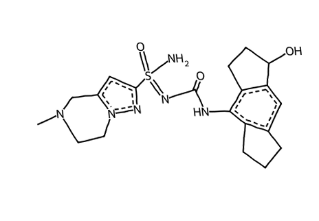 CN1CCn2nc(S(N)(=O)=NC(=O)Nc3c4c(cc5c3CCC5O)CCC4)cc2C1